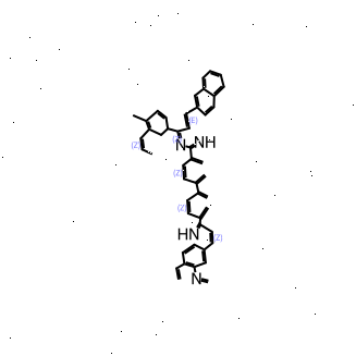 C=Cc1ccc(/C=C\C(=N)C(=C)/C=C\C(=C)C(=C)/C=C\C(=C)C(=N)/N=C(\C=C\c2ccc3ccccc3c2)C2C=CC(C)=C(/C=C\C)C2)cc1N=C